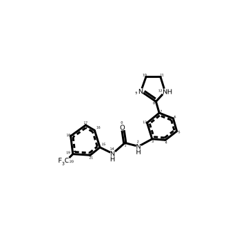 O=C(Nc1cccc(C2=NCCN2)c1)Nc1cccc(C(F)(F)F)c1